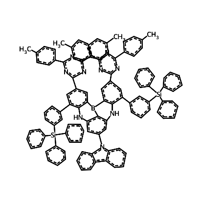 Cc1ccc(-c2nc(-c3ccc(C)cc3)nc(-c3cc4c(c(-c5cccc([Si](c6ccccc6)(c6ccccc6)c6ccccc6)c5)c3)Nc3cc(-n5c6ccccc6c6ccccc65)cc5c3B4c3cc(-c4nc(-c6ccc(C)cc6)nc(-c6ccc(C)cc6)n4)cc(-c4cccc([Si](c6ccccc6)(c6ccccc6)c6ccccc6)c4)c3N5)n2)cc1